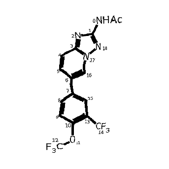 CC(=O)Nc1nc2ccc(-c3ccc(OC(F)(F)F)c(C(F)(F)F)c3)cn2n1